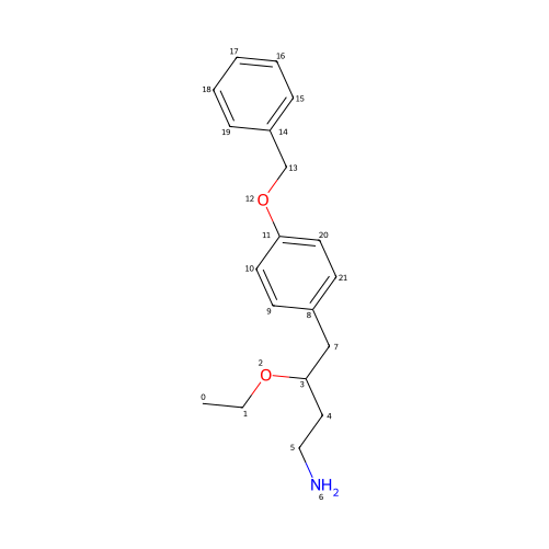 CCOC(CCN)Cc1ccc(OCc2ccccc2)cc1